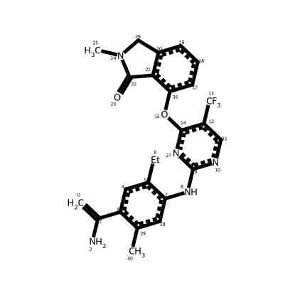 C=C(N)c1cc(CC)c(Nc2ncc(C(F)(F)F)c(Oc3cccc4c3C(=O)N(C)C4)n2)cc1C